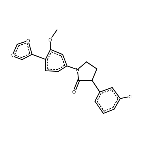 COc1cc(N2CCC(c3cccc(Cl)c3)C2=O)ccc1-c1cnco1